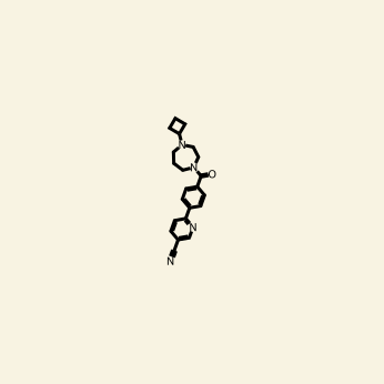 N#Cc1ccc(-c2ccc(C(=O)N3CCCN(C4CCC4)CC3)cc2)nc1